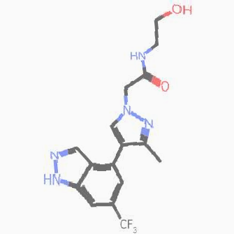 Cc1nn(CC(=O)NCCO)cc1-c1cc(C(F)(F)F)cc2[nH]ncc12